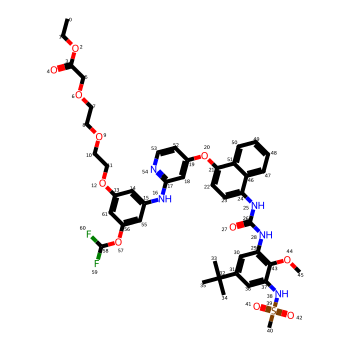 CCOC(=O)COCCOCCOc1cc(Nc2cc(Oc3ccc(NC(=O)Nc4cc(C(C)(C)C)cc(NS(C)(=O)=O)c4OC)c4ccccc34)ccn2)cc(OC(F)F)c1